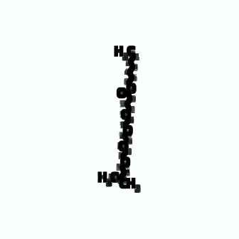 CCCCCCCOC(=O)CCCOCCOCCOCCOCCC(C)C